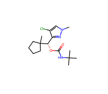 Cn1cc(Cl)c([C@H](OC(=O)NC(C)(C)C)C2(C)CCCC2)n1